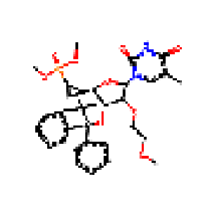 COCCOC1C(n2cc(C)c(=O)[nH]c2=O)O[C@H](C2CC2P(=O)(OC)OC)[C@@H]1O[Si](c1ccccc1)(c1ccccc1)C(C)(C)C